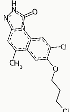 Cc1cc2n[nH]c(=O)n2c2cc(Cl)c(OCCCCl)cc12